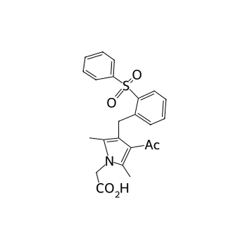 CC(=O)c1c(Cc2ccccc2S(=O)(=O)c2ccccc2)c(C)n(CC(=O)O)c1C